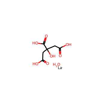 O.O=C(O)CC(O)(CC(=O)O)C(=O)O.[La]